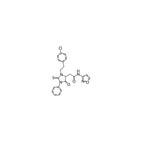 O=C(CC1C(=O)N(c2ccccc2)C(=S)N1CCc1ccc(Cl)cc1)Nc1ccon1